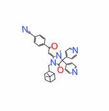 CN1C(=CC(=O)c2ccc(C#N)cc2)N(CC2CCC3CC2C3(C)C)C(=O)C1(c1ccncc1)c1ccncc1